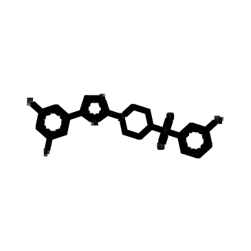 O=S(=O)(c1cccc(Br)c1)C1CCN(c2nc(-c3cc(F)cc(F)c3)cs2)CC1